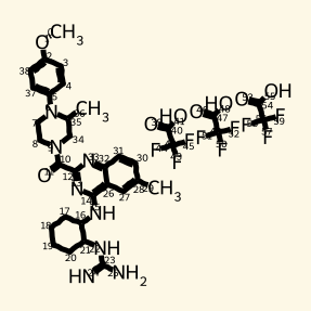 COc1ccc(N2CCN(C(=O)c3nc(NC4CCCCC4NC(=N)N)c4cc(C)ccc4n3)CC2C)cc1.O=C(O)C(F)(F)F.O=C(O)C(F)(F)F.O=C(O)C(F)(F)F